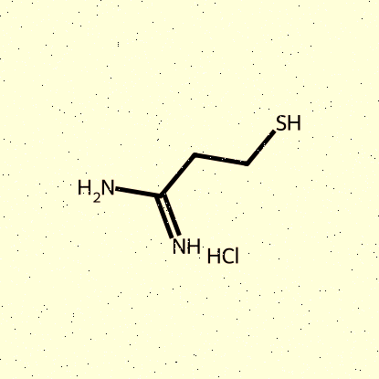 Cl.N=C(N)CCS